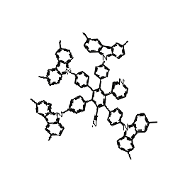 Cc1ccc2c(c1)c1cc(C)ccc1n2-c1ccc(-c2c(C#N)c(-c3ccc(-n4c5ccc(C)cc5c5cc(C)ccc54)cc3)c(-c3cccnc3)c(-c3ccc(-n4c5ccc(C)cc5c5cc(C)ccc54)cc3)c2-c2ccc(-n3c4ccc(C)cc4c4cc(C)ccc43)cc2)cc1